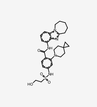 O=C(Nc1cccc2c1nc1n2CCCCC1)c1ccc(NS(=O)(=O)CCO)cc1N1CCC2(CC1)CC2